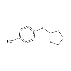 Oc1ccc(OC2CCCO2)cc1